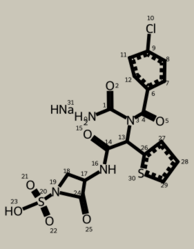 NC(=O)N(C(=O)c1ccc(Cl)cc1)C(C(=O)NC1CN(S(=O)(=O)O)C1=O)c1cccs1.[NaH]